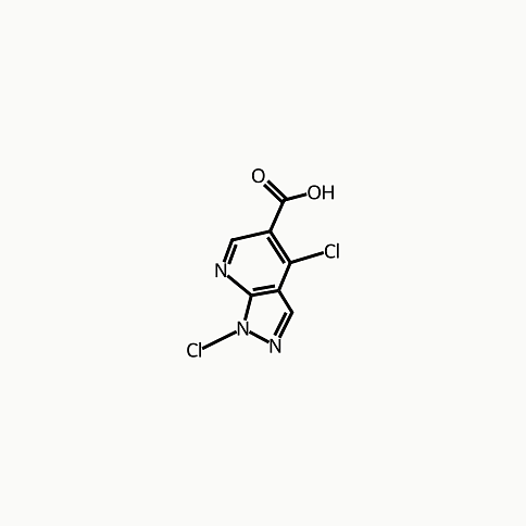 O=C(O)c1cnc2c(cnn2Cl)c1Cl